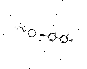 CC=C[C@H]1CC[C@H](C#Cc2cnc(-c3ccc(F)c(F)c3)nc2)CC1